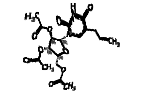 C=CCc1cn([C@@H]2O[C@H](COC(C)=O)[C@H](OC(C)=O)[C@H]2OC(C)=O)c(=O)[nH]c1=O